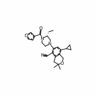 CC[C@@H]1CN(c2cc(C3CC3)c3c(c2C#N)CC(C)(C)OC3)CCN1C(=O)c1ccoc1